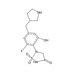 O=C1CN(c2c(O)cc(CC3CCNC3)cc2F)S(=O)(=O)N1